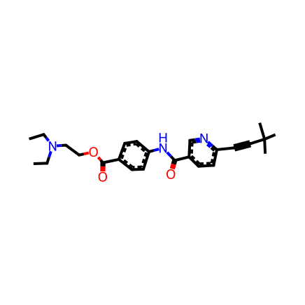 CCN(CC)CCOC(=O)c1ccc(NC(=O)c2ccc(C#CC(C)(C)C)nc2)cc1